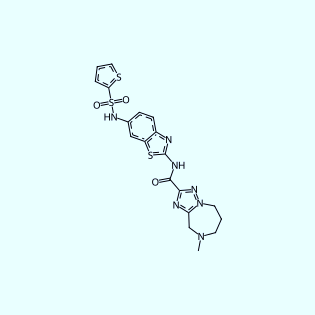 CN1CCCn2nc(C(=O)Nc3nc4ccc(NS(=O)(=O)c5cccs5)cc4s3)nc2C1